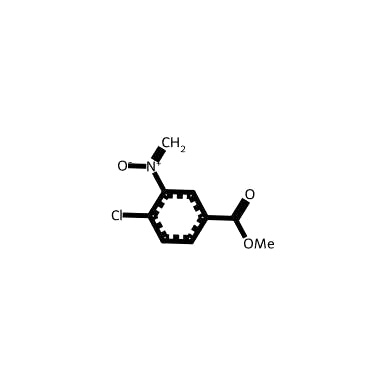 C=[N+]([O-])c1cc(C(=O)OC)ccc1Cl